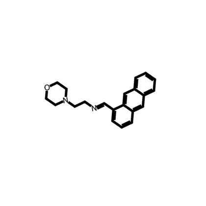 C(=NCCN1CCOCC1)c1cccc2cc3ccccc3cc12